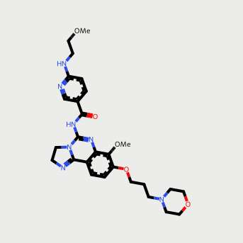 COCCNc1ccc(C(=O)NC2=Nc3c(ccc(OCCCN4CCOCC4)c3OC)C3=NCCN23)cn1